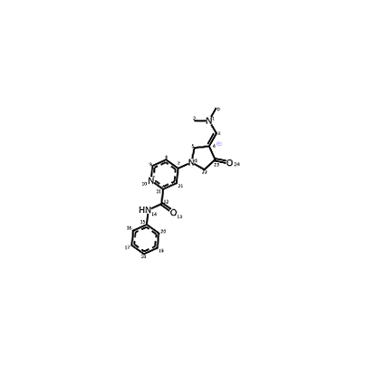 CN(C)/C=C1\CN(c2ccnc(C(=O)Nc3ccccc3)c2)CC1=O